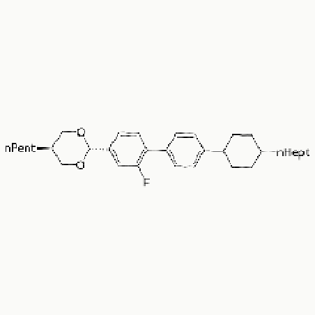 CCCCCCCC1CCC(c2ccc(-c3ccc([C@H]4OC[C@H](CCCCC)CO4)cc3F)cc2)CC1